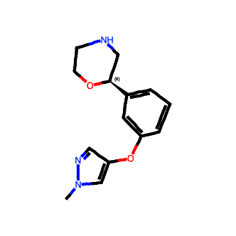 Cn1cc(Oc2cccc([C@@H]3CNCCO3)c2)cn1